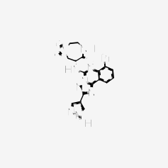 Cn1cc(-c2nc3c4cccc(Br)c4nc(N[C@H]4CS(=O)(=O)CCNC4=O)n3n2)cn1